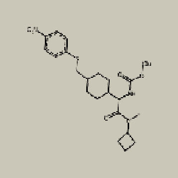 CN(C(=O)C(NC(=O)OC(C)(C)C)C1CCC(CSc2ccc([N+](=O)[O-])cc2)CC1)C1CCC1